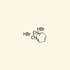 Br.Br.C=C.c1ccccc1